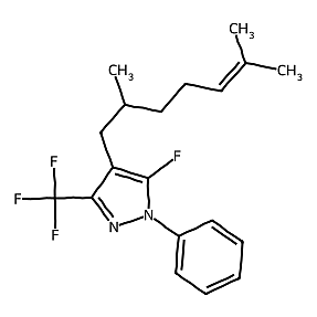 CC(C)=CCCC(C)Cc1c(C(F)(F)F)nn(-c2ccccc2)c1F